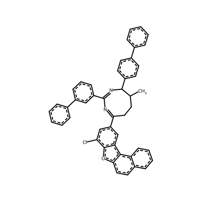 CC1CC/C(c2cc(Cl)c3oc4ccc5ccccc5c4c3c2)=N\C(c2cccc(-c3ccccc3)c2)=N/C1c1ccc(-c2ccccc2)cc1